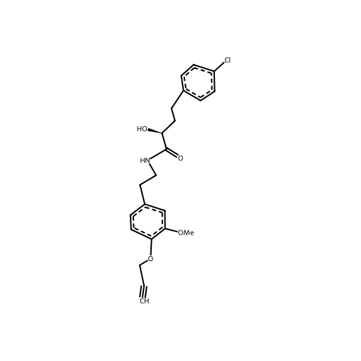 C#CCOc1ccc(CCNC(=O)[C@@H](O)CCc2ccc(Cl)cc2)cc1OC